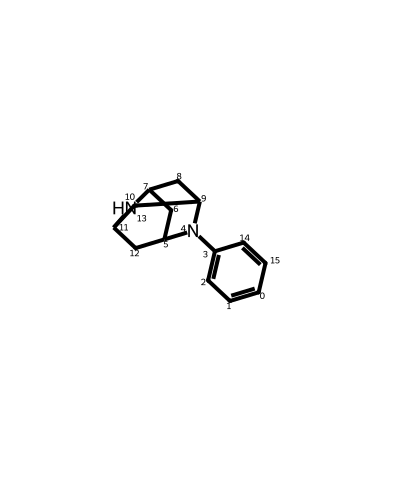 c1ccc(N2C3CC4CC2CC(C3)N4)cc1